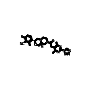 Cc1nc(-n2cnnn2)nc(C)c1CC(=O)N1CCN2C[C@@H](c3ccc(F)c(C#N)c3C)OC[C@H]2C1